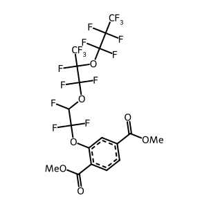 COC(=O)c1ccc(C(=O)OC)c(OC(F)(F)C(F)OC(F)(F)C(F)(OC(F)(F)C(F)(F)C(F)(F)F)C(F)(F)F)c1